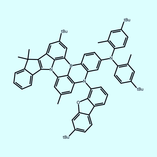 Cc1cc2c3c(c1)-n1c4c(c5cc(C(C)(C)C)cc(c51)B3c1ccc(N(c3ccc(C(C)(C)C)cc3C)c3ccc(C(C)(C)C)cc3C)cc1N2c1cccc2c1oc1cc(C(C)(C)C)ccc12)C(C)(C)c1ccccc1-4